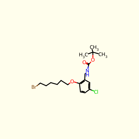 CC(C)(C)OC(=O)NCc1cc(Cl)ccc1OCCCCCCBr